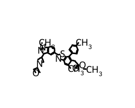 CCOC(=O)Cc1c(C)cc2nc(-c3ccc4c(c3)c(C3CN(C5COC5)C3)nn4C)sc2c1-c1ccc(C)cc1